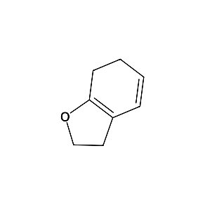 C1=CC2=C(CC1)OCC2